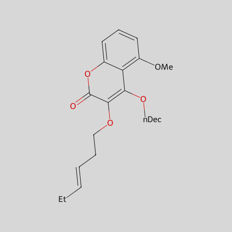 CC/C=C/CCOc1c(OCCCCCCCCCC)c2c(OC)cccc2oc1=O